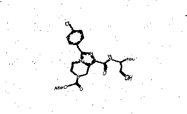 COC(=O)N1CCn2c(-c3ccc(Cl)cc3)nc(C(=O)NC(CO)C(C)(C)C)c2C1